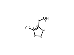 OCC1=C(Cl)CCC1